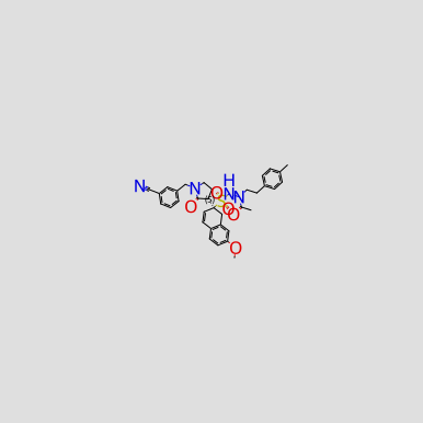 COc1ccc2c(c1)CC([C@H]1CCN(Cc3cccc(C#N)c3)C1=O)(S(=O)(=O)NN(CCc1ccc(C)cc1)C(C)=O)C=C2